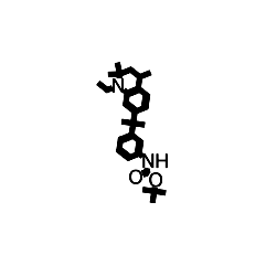 CCN1c2cc(C(C)(C)c3cccc(NC(=O)OC(C)(C)C)c3)ccc2C(C)CC1(C)C